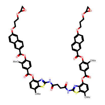 COc1cc(C(=O)Oc2ccc(OC)c3sc(NC(=O)CCC(=O)Nc4nc5c(OC(=O)c6ccc(OC(=O)c7ccc8cc(OCCCOC9CO9)ccc8c7)c(OC)c6)ccc(OC)c5s4)nc23)ccc1OC(=O)c1ccc2cc(OCCCOC3CO3)ccc2c1